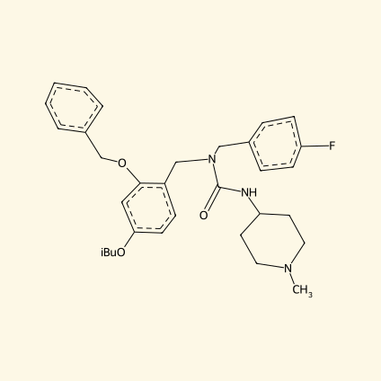 CC(C)COc1ccc(CN(Cc2ccc(F)cc2)C(=O)NC2CCN(C)CC2)c(OCc2ccccc2)c1